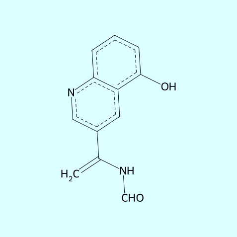 C=C(NC=O)c1cnc2cccc(O)c2c1